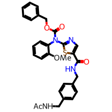 COc1ccccc1N(C(=O)OCc1ccccc1)c1ncc(C(=O)NCc2ccc(CNC(C)=O)cc2)s1